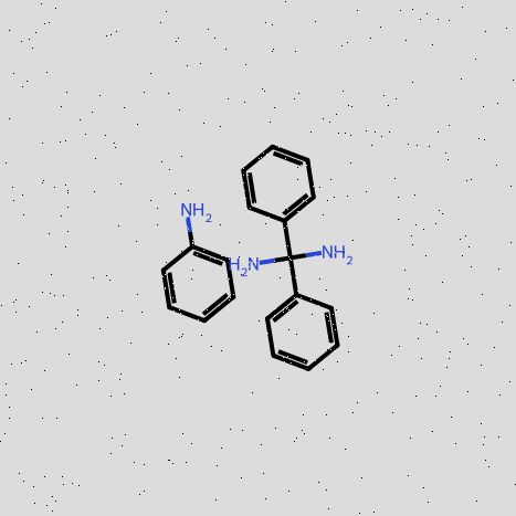 NC(N)(c1ccccc1)c1ccccc1.Nc1ccccc1